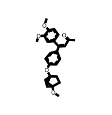 COc1ccc(C(=CC(C)=O)c2ccc(OC34CCC(OC)(CC3)C4)cc2)cc1OC